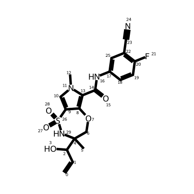 C=CC(O)C1(C)COc2c(cn(C)c2C(=O)Nc2ccc(F)c(C#N)c2)S(=O)(=O)N1